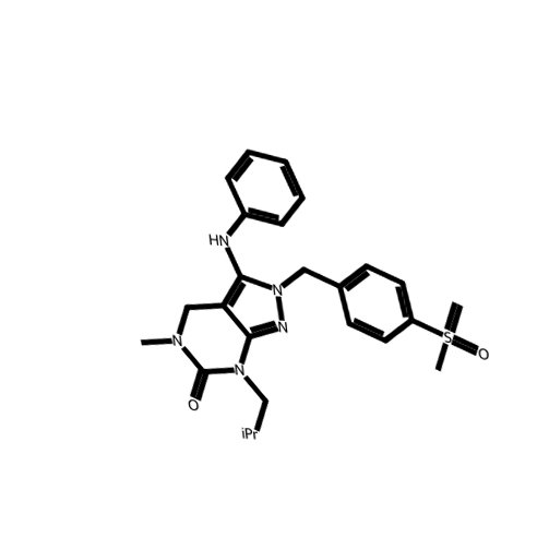 C=S(C)(=O)c1ccc(Cn2nc3c(c2Nc2ccccc2)CN(C)C(=O)N3CC(C)C)cc1